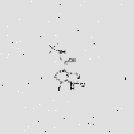 CC(C)(C)NC[C@@H](O)c1ccc(F)c2[nH]c(=O)ccc12